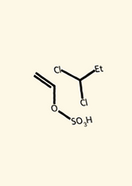 C=COS(=O)(=O)O.CCC(Cl)Cl